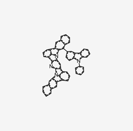 c1ccc(-n2c3ccccc3c3cc(-c4c5ccccc5cc5c6cccc7c8nc9c(cc8n(c45)c67)c4cccc5c6cc7ccccc7cc6n9c54)ccc32)cc1